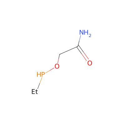 CCPOCC(N)=O